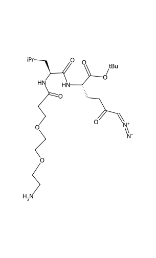 CC(C)C[C@H](NC(=O)CCOCCOCCN)C(=O)N[C@@H](CCC(=O)C=[N+]=[N-])C(=O)OC(C)(C)C